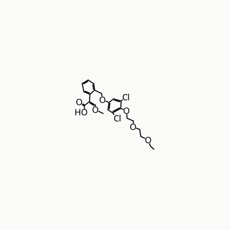 CCOCCOCCOc1c(Cl)cc(OCc2ccccc2C(=COC)C(=O)O)cc1Cl